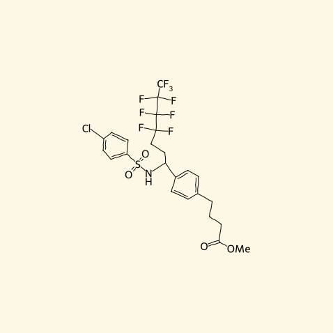 COC(=O)CCCc1ccc(C(CCC(F)(F)C(F)(F)C(F)(F)C(F)(F)F)NS(=O)(=O)c2ccc(Cl)cc2)cc1